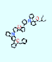 CCCC(CC)CC(=O)c1cccc2c1c1ccccc1n2-c1cccc(-c2cccc3c2oc2ccc(-n4c5ccccc5c5cc(-c6ccccc6C(=O)Cc6ccccc6)ccc54)cc23)c1